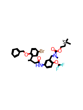 CC(CC(=O)Nc1ccc(OC(F)F)c(CN(C)C(=O)OCC[Si](C)(C)C)c1)c1cc(Br)ccc1OCc1ccccc1